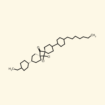 CCCCCCCC1CCC(C2CC[C@]3(CC2)C(=O)[C@@]2(CC[C@@H](C4CCC(CC)CC4)CC2)C3(Cl)Cl)CC1